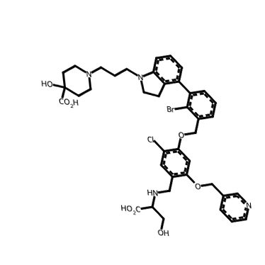 O=C(O)C(CO)NCc1cc(Cl)c(OCc2cccc(-c3cccc4c3CCN4CCCN3CCC(O)(C(=O)O)CC3)c2Br)cc1OCc1cccnc1